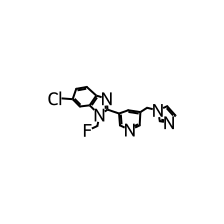 FCn1c(-c2cncc(Cn3ccnc3)c2)nc2ccc(Cl)cc21